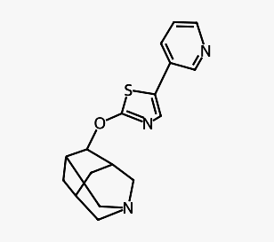 c1cncc(-c2cnc(OC3C4CC5CC3CN(C5)C4)s2)c1